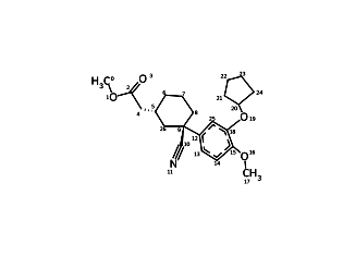 COC(=O)C[C@@H]1CCC[C@](C#N)(c2ccc(OC)c(OC3CCCC3)c2)C1